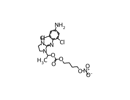 CC(OC(=O)OCCCCO[N+](=O)[O-])N1CCN/C1=N\c1c(Cl)cc(N)cc1Cl